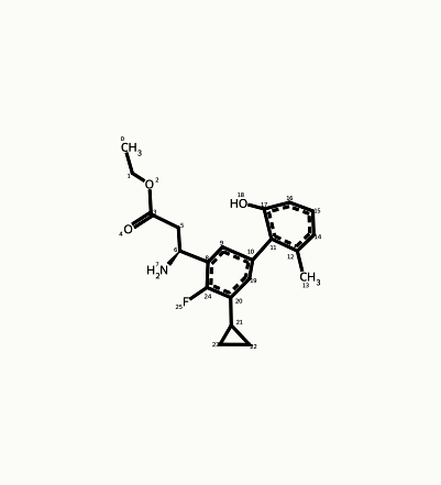 CCOC(=O)C[C@H](N)c1cc(-c2c(C)cccc2O)cc(C2CC2)c1F